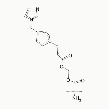 CC(C)(N)C(=O)OCOC(=O)/C=C/c1ccc(Cn2ccnc2)cc1